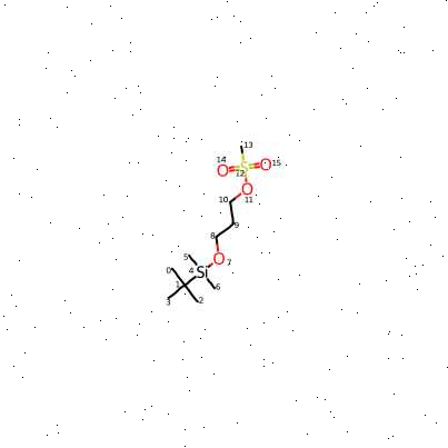 CC(C)(C)[Si](C)(C)OCCCOS(C)(=O)=O